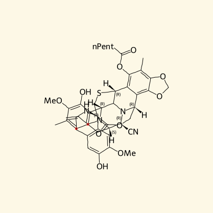 C=CCN1[C@@H]2c3c(cc(C)c(OC)c3O)C[C@H]1[C@H](C#N)N1C2[C@@H]2SC[C@]3(NCCc4cc(O)c(OC)cc43)C(=O)OC[C@H]1c1c3c(c(C)c(OC(=O)CCCCC)c12)OCO3